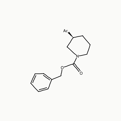 CC(=O)[C@H]1CCCN(C(=O)OCc2ccccc2)C1